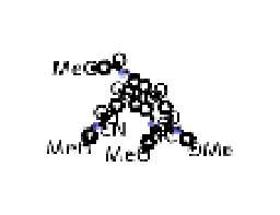 COc1ccc(/C=C(\C#N)C(=O)Oc2ccc(C(=O)Oc3ccc4cc(/C=C/C(=O)c5ccc(OC)cc5)ccc4c3-c3c(OC(=O)c4ccc(OC(=O)/C(C#N)=C/c5ccc(OC)cc5)cc4)ccc4cc(/C=C/C(=O)c5ccc(OC)cc5)ccc34)cc2)cc1